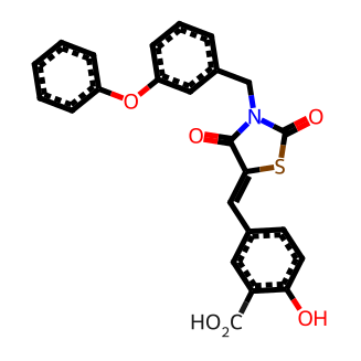 O=C(O)c1cc(/C=C2\SC(=O)N(Cc3cccc(Oc4ccccc4)c3)C2=O)ccc1O